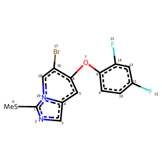 CSc1ncc2cc(Oc3ccc(F)cc3F)c(Br)cn12